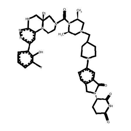 CC[C@]12CNc3nnc(-c4cccc(F)c4O)cc3N1CCN(C(=O)N1[C@H](C)CN(CC3CCN(c4ccc5c(c4)C(=O)N([C@H]4CCC(=O)NC4=O)C5)CC3)C[C@@H]1C)C2